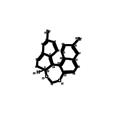 Brc1ccc2c(c1)=CC[C@@H]1OCOc3ccc4cc(Br)ccc4c3C=21